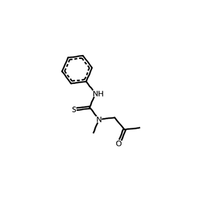 CC(=O)CN(C)C(=S)Nc1ccccc1